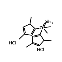 CC1=CC(C)[C]([Zr]([CH3])([CH3])(=[SiH2])[C]2=CC(C)=CC2C)=C1.Cl.Cl